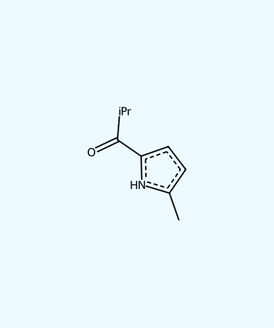 Cc1ccc(C(=O)C(C)C)[nH]1